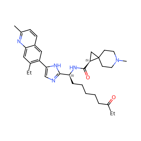 CCC(=O)CCCCC[C@H](NC(=O)[C@H]1CC12CCN(C)CC2)c1ncc(-c2cc3ccc(C)nc3cc2CC)[nH]1